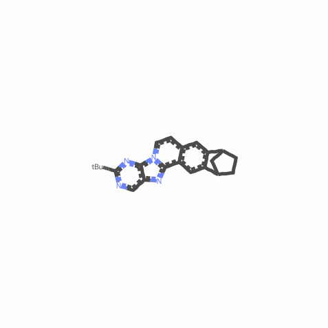 CC(C)(C)c1ncc2nc3c4cc5c(cc4ccn3c2n1)C1CCC5C1